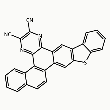 N#Cc1nc2c3cc4c(cc3c3ccc5ccccc5c3c2nc1C#N)sc1ccccc14